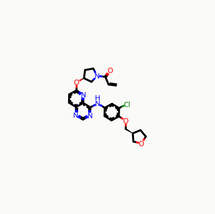 C=CC(=O)N1CC[C@H](Oc2ccc3ncnc(Nc4ccc(OC[C@H]5CCOC5)c(Cl)c4)c3n2)C1